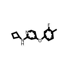 Cc1ccc(Oc2ccnc(NC3CCC3)c2)cc1F